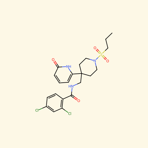 CCCS(=O)(=O)N1CCC(CNC(=O)c2ccc(Cl)cc2Cl)(c2cccc(=O)[nH]2)CC1